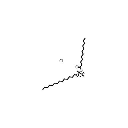 CCCCCCCCCCCCCCOC(C)(OC(=O)CCCCCCCCCCC)[N+](C)(C)C.[Cl-]